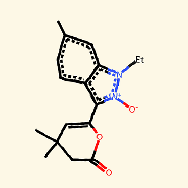 CCn1c2cc(C)ccc2c(C2=CC(C)(C)CC(=O)O2)[n+]1[O-]